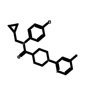 Cc1ccnc(N2CCC(C(=O)N(CC3CC3)c3ccc(Cl)cc3)CC2)c1